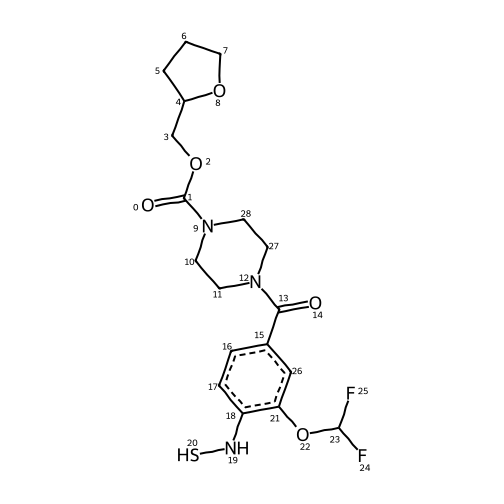 O=C(OCC1CCCO1)N1CCN(C(=O)c2ccc(NS)c(OC(F)F)c2)CC1